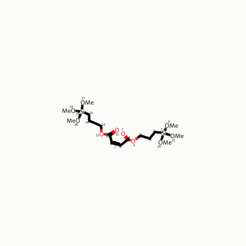 CO[Si](CCCOC(=O)/C=C\C(=O)OCCC[Si](OC)(OC)OC)(OC)OC